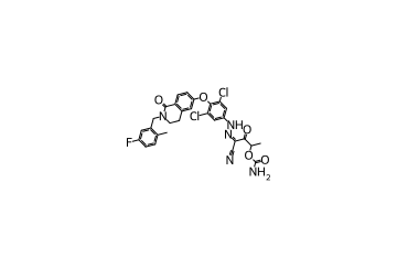 Cc1ccc(F)cc1CN1CCc2cc(Oc3c(Cl)cc(NN=C(C#N)C(=O)C(C)OC(N)=O)cc3Cl)ccc2C1=O